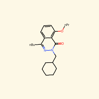 CCCCc1nn(CC2CCCCC2)c(=O)c2c(OCCC)cccc12